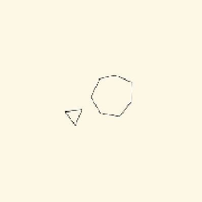 C1CC1.C1CCCCCC1